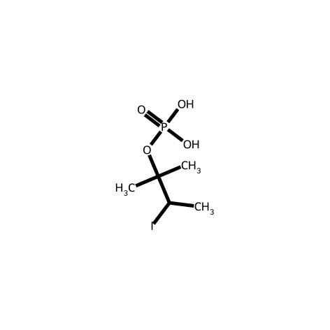 CC(I)C(C)(C)OP(=O)(O)O